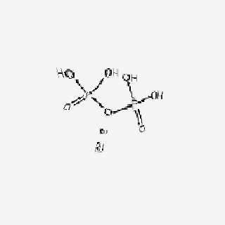 O=P(O)(O)OP(=O)(O)O.[Ru].[Ru]